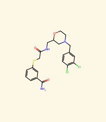 NC(=O)c1cccc(SCC(=O)NCC2CN(Cc3ccc(Cl)c(Cl)c3)CCO2)c1